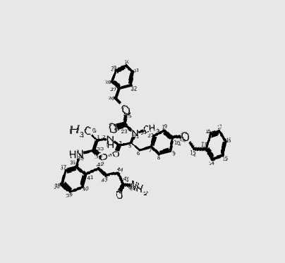 C[C@@H](NC(=O)[C@H](Cc1ccc(OCc2ccccc2)cc1)N(C)C(=O)OCc1ccccc1)C(=O)Nc1ccccc1CCCC(N)=O